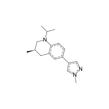 CC(C)N1C[C@H](C)Cc2cc(-c3cnn(C)c3)ccc21